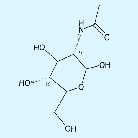 CC(=O)N[C@@H]1C(O)OC(CO)[C@H](O)C1O